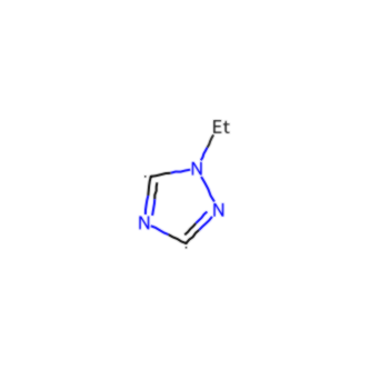 CCn1[c]n[c]n1